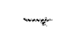 CC(C)(C)OC(=O)N(CCOCCOCCOCCN=[N+]=[N-])CC(N)=O